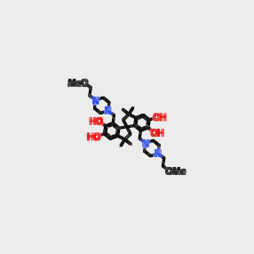 COCCN1CCN(Cc2c(O)c(O)cc3c2C2(CC3(C)C)CC(C)(C)c3cc(O)c(O)c(CN4CCN(CCOC)CC4)c32)CC1